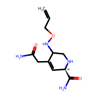 C=CCONC1CN[C@@H](C(N)=O)C=C1CC(N)=O